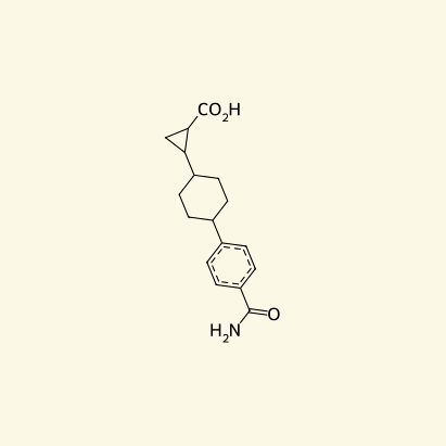 NC(=O)c1ccc(C2CCC(C3CC3C(=O)O)CC2)cc1